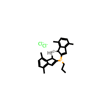 CCCP1C2=Cc3c(C)ccc(C)c3[CH]2[Hf+2][CH]2C1=Cc1c(C)ccc(C)c12.[Cl-].[Cl-]